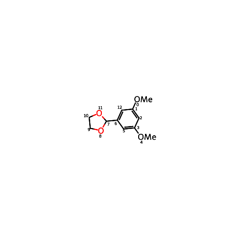 COc1cc(OC)cc(C2OCCO2)c1